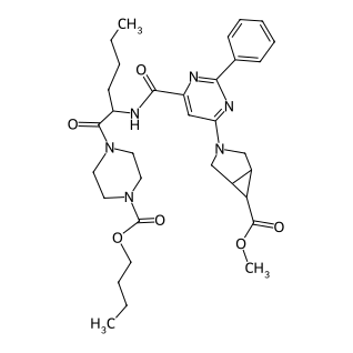 CCCCOC(=O)N1CCN(C(=O)C(CCCC)NC(=O)c2cc(N3CC4C(C3)C4C(=O)OC)nc(-c3ccccc3)n2)CC1